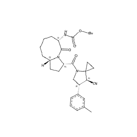 Cc1cccc([C@@H]2CN(C(=O)[C@@H]3CC[C@@H]4CCCC[C@H](NC(=O)OC(C)(C)C)C(=O)N43)C3(CC3)[C@H]2C#N)c1